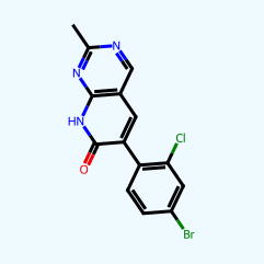 Cc1ncc2cc(-c3ccc(Br)cc3Cl)c(=O)[nH]c2n1